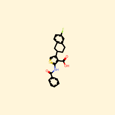 O=C(Nc1scc(C2CCc3cc(F)ccc3C2)c1C(=O)O)c1ccccc1